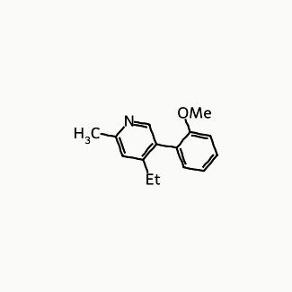 CCc1cc(C)ncc1-c1ccccc1OC